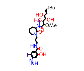 CO[C@@H](C(=O)N[C@H]1CCCCN(CCCNC(=O)c2cc(I)c(N=N)cc2O)C1=O)[C@H](O)[C@@H](O)[C@H](O)/C=C/C(C)(C)C